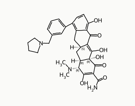 CN(C)[C@H]1C(O)=C(C(N)=O)C(=O)[C@]2(O)C(O)=C3C(=O)c4c(O)ccc(-c5cccc(CN6CCCC6)c5)c4C[C@@H]3C[C@H]12